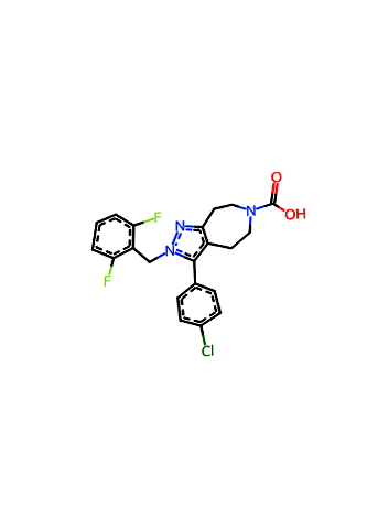 O=C(O)N1CCc2nn(Cc3c(F)cccc3F)c(-c3ccc(Cl)cc3)c2CC1